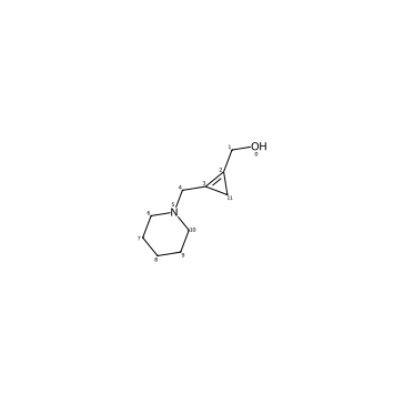 OCC1=C(CN2CCCCC2)C1